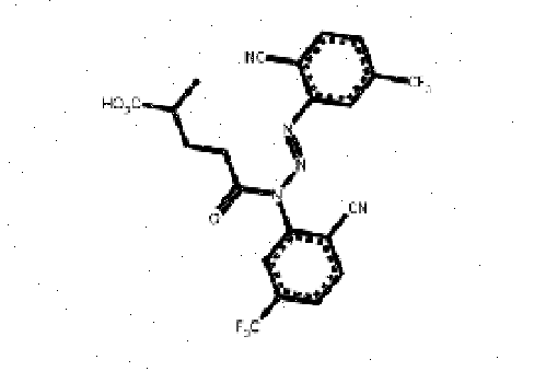 CC(CCC(=O)N(/N=N/c1cc(C(F)(F)F)ccc1C#N)c1cc(C(F)(F)F)ccc1C#N)C(=O)O